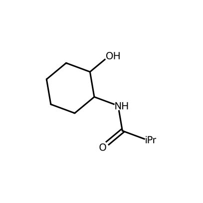 CC(C)C(=O)NC1CCCCC1O